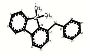 C[Si]1(C)c2ccccc2-c2cccc(Cc3ccccc3)c21